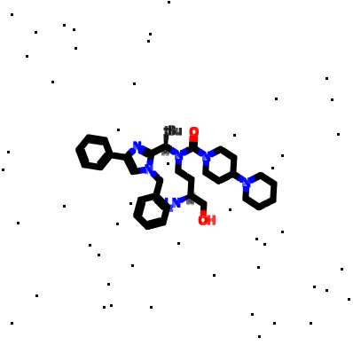 CC(C)(C)[C@H](c1nc(-c2ccccc2)cn1Cc1ccccc1)N(CC[C@H](N)CO)C(=O)N1CCC(N2CCCCC2)CC1